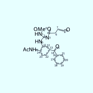 CONC(=NC(=O)CC=C=O)Nc1cc(C(=O)c2ccccc2)ccc1NC(C)=O